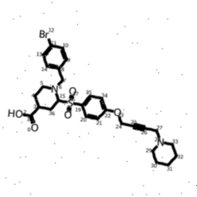 O=C(O)C1CCN(Cc2ccc(Br)cc2)C(S(=O)(=O)c2ccc(OCC#CCN3CCCCC3)cc2)C1